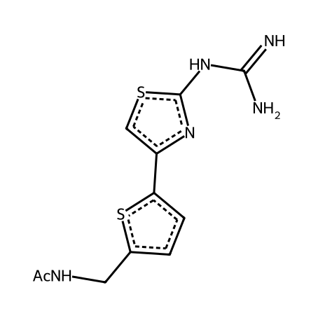 CC(=O)NCc1ccc(-c2csc(NC(=N)N)n2)s1